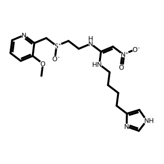 COc1cccnc1C[S+]([O-])CCN/C(=C/[N+](=O)[O-])NCCCCc1c[nH]cn1